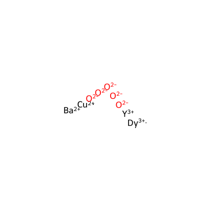 [Ba+2].[Cu+2].[Dy+3].[O-2].[O-2].[O-2].[O-2].[O-2].[Y+3]